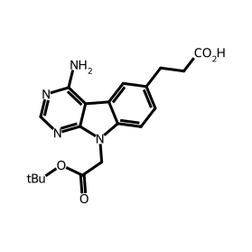 CC(C)(C)OC(=O)Cn1c2ccc(CCC(=O)O)cc2c2c(N)ncnc21